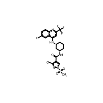 CS(=O)(=O)n1cc(C(=O)N[C@@H]2CCC[C@H](Nc3cc(C(F)(F)F)nc4ccc(Cl)cc34)C2)c(Cl)n1